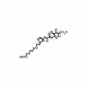 CCCOCCOCCOCCn1cc(CNC(=O)CC2SCC(C(=O)O)NC2=O)nn1